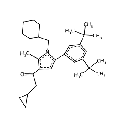 Cc1c(C(=O)CC2CC2)cc(-c2cc(C(C)(C)C)cc(C(C)(C)C)c2)n1CC1CCCCC1